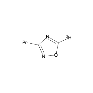 [2H]c1nc(C(C)C)no1